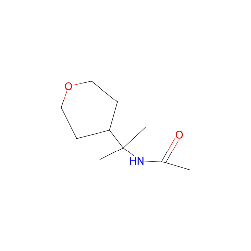 CC(=O)NC(C)(C)C1CCOCC1